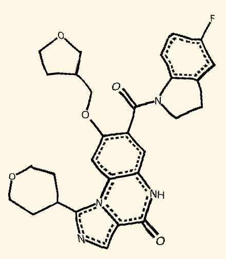 O=C(c1cc2[nH]c(=O)c3cnc(C4CCOCC4)n3c2cc1OCC1CCOC1)N1CCc2cc(F)ccc21